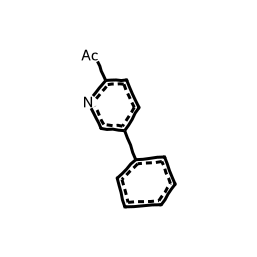 [CH2]C(=O)c1ccc(-c2ccccc2)cn1